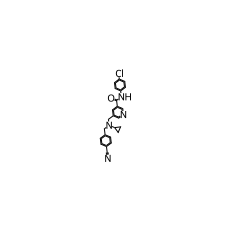 N#Cc1ccc(CN(Cc2cncc(C(=O)Nc3ccc(Cl)cc3)c2)C2CC2)cc1